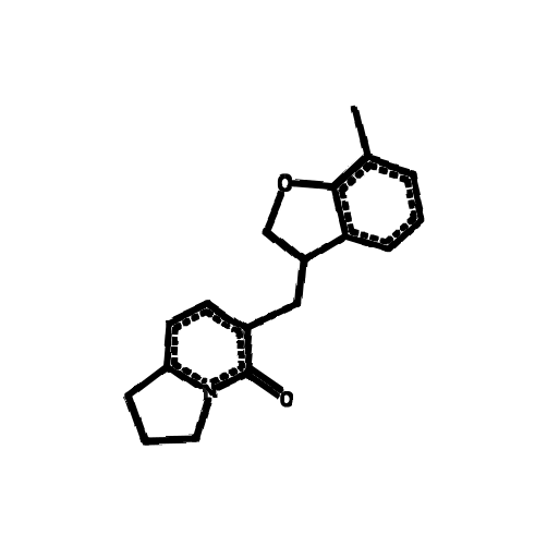 Cc1cccc2c1OCC2Cc1ccc2n(c1=O)CCC2